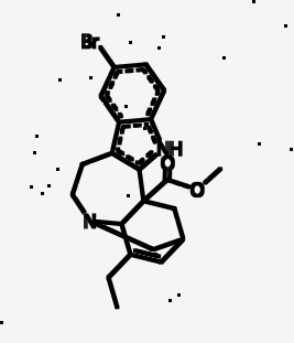 CCC1=CC2CN3CCc4c([nH]c5ccc(Br)cc45)C(C(=O)OC)(C2)C13